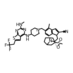 CNc1nc(NC2CCN(Cc3ccc4c(c3C)C=C(C#N)C4C[C@H](C)N3C4CCC3CC(S(C)(=O)=O)C4)CC2)c2cc(CC(F)(F)F)sc2n1